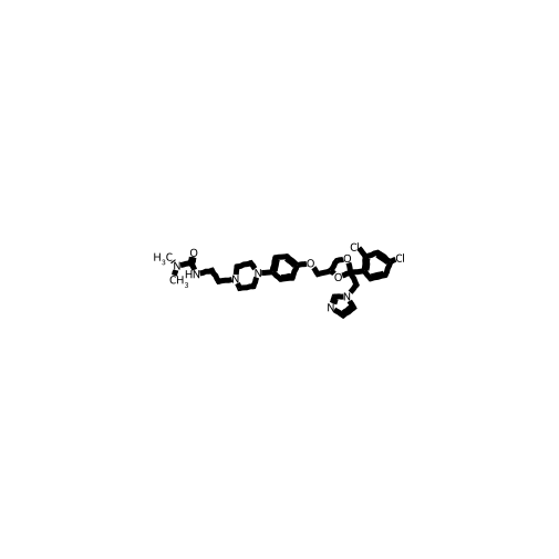 CN(C)C(=O)NCCN1CCN(c2ccc(OCC3COC(Cn4ccnc4)(c4ccc(Cl)cc4Cl)O3)cc2)CC1